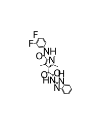 Cc1c(C(=O)C(=O)Nc2nc3ccccc3[nH]2)c(C)n(C)c1C(=O)Nc1ccc(F)c(F)c1